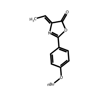 C/C=C1\N=C(c2ccc(OCCCC)cc2)OC1=O